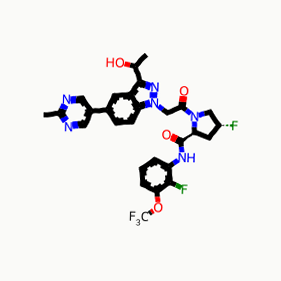 Cc1ncc(-c2ccc3c(c2)c(C(C)O)nn3CC(=O)N2C[C@H](F)C[C@H]2C(=O)Nc2cccc(OC(F)(F)F)c2F)cn1